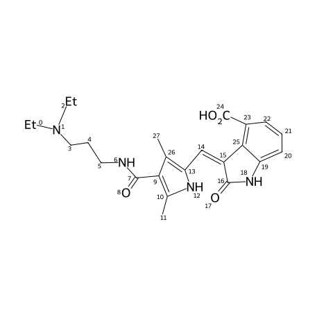 CCN(CC)CCCNC(=O)c1c(C)[nH]c(C=C2C(=O)Nc3cccc(C(=O)O)c32)c1C